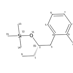 CC[C@@H](Cc1ccccc1Cl)O[Si](C)(C)C